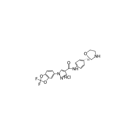 Cl.O=C(Nc1ccc([C@H]2CNCCO2)cc1)c1cnn(-c2ccc3c(c2)OC(F)(F)O3)c1